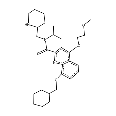 COCCOc1cc(C(=O)N(CC2CCCCN2)C(C)C)nc2c(OCC3CCCCC3)cccc12